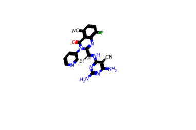 CC[C@H](Nc1nc(N)nc(N)c1C#N)c1nc2c(F)ccc(C#N)c2c(=O)n1-c1cccnc1